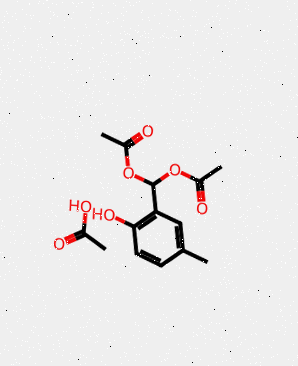 CC(=O)O.CC(=O)OC(OC(C)=O)c1cc(C)ccc1O